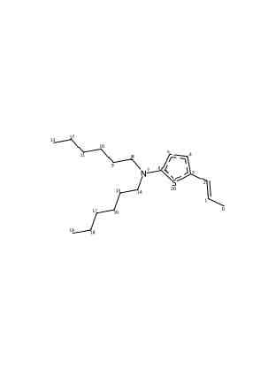 CC=Cc1ccc(N(CCCCCC)CCCCCC)s1